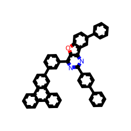 c1ccc(-c2ccc(-c3nc(-c4cccc(-c5ccc6c7ccccc7c7ccccc7c6c5)c4)c4oc5ccc(-c6ccccc6)cc5c4n3)cc2)cc1